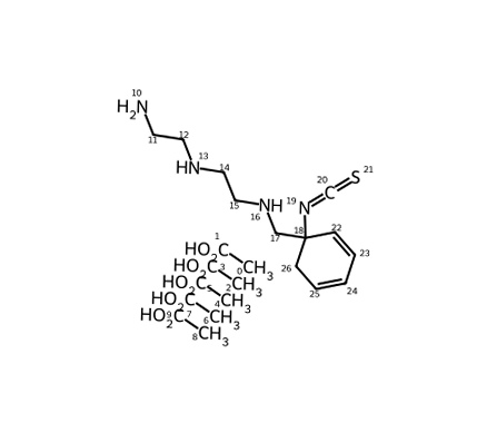 CC(=O)O.CC(=O)O.CC(=O)O.CC(=O)O.CC(=O)O.NCCNCCNCC1(N=C=S)C=CC=CC1